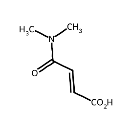 CN(C)C(=O)C=CC(=O)O